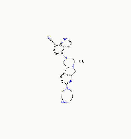 CC1CN(c2ccc(C#N)c3ncccc23)CC2c3ccc(N4CCCNCC4)nc3CN12